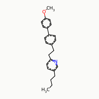 CCCCc1ccc(CCc2ccc(-c3ccc(OC)cc3)cc2)nc1